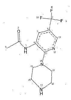 CC(=O)Nc1cc(C(F)(F)F)cnc1N1CCNCC1